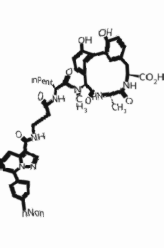 CCCCCCCCCc1ccc(-c2cccc3c(C(=O)NCCC(=O)N[C@@H](CCCCC)C(=O)N(C)[C@@H]4C(=O)N[C@@H](C)C(=O)N[C@H](C(=O)O)Cc5ccc(O)c(c5)-c5cc4ccc5O)cnn23)cc1